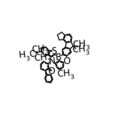 Cc1cc2c3c(c1)N(c1cccc4c1oc1ccccc14)c1c(sc4ccc(C(C)(C)C)cc14)B3c1cc3c(cc1O2)C(C)(C)c1ccc2c(c1-3)CCC2